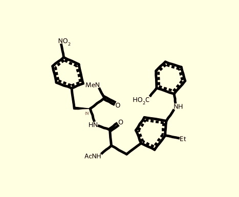 CCc1cc(CC(NC(C)=O)C(=O)N[C@@H](Cc2ccc([N+](=O)[O-])cc2)C(=O)NC)ccc1Nc1ccccc1C(=O)O